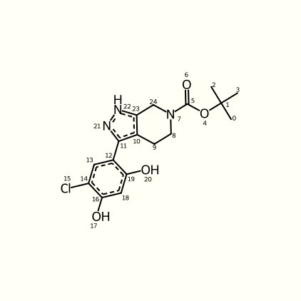 CC(C)(C)OC(=O)N1CCc2c(-c3cc(Cl)c(O)cc3O)n[nH]c2C1